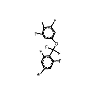 Cc1c(F)cc(OC(F)(F)c2c(F)cc(Br)cc2F)cc1F